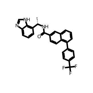 C[C@H](NC(=O)c1ccc2c(-c3ccc(C(F)(F)F)cc3)cccc2c1)c1cccc2nc[nH]c12